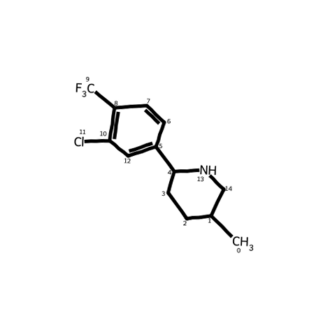 CC1CCC(c2ccc(C(F)(F)F)c(Cl)c2)NC1